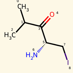 CC(C)C(=O)[C@@H](N)CI